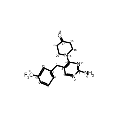 Nc1ncc(Cc2cccc(C(F)(F)F)c2)c(N2CCC(=O)CC2)n1